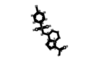 CC(=O)c1ccc2n1CCCC2CS(=O)(=O)c1ccc(C)cc1